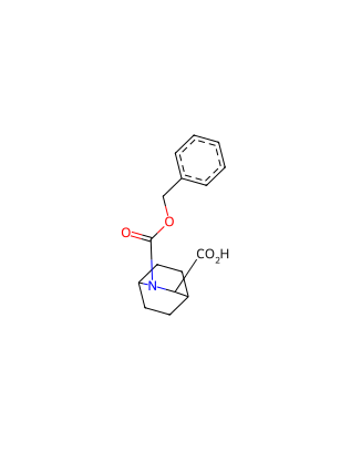 O=C(O)C1C2CCC(CC2)N1C(=O)OCc1ccccc1